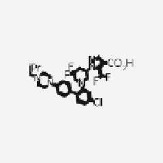 CC(C)CN1CCN(C2C=CC(c3ccc(Cl)cc3N3CC(n4ncc(C(=O)O)c4C(F)F)CC(F)(F)C3)=CC2)CC1